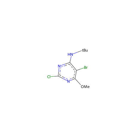 COc1nc(Cl)nc(NC(C)(C)C)c1Br